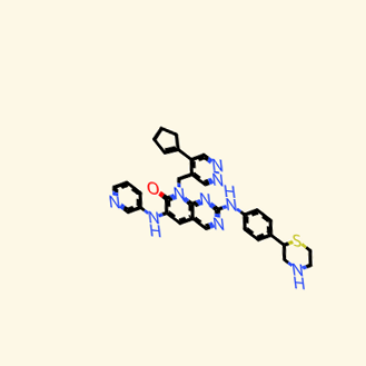 O=c1c(Nc2cccnc2)cc2cnc(Nc3ccc(C4CNCCS4)cc3)nc2n1Cc1cnncc1C1=CCCC1